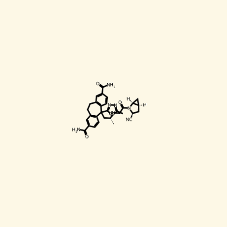 Cc1nnc(C2(C[C@@H](C)NCC(=O)N3[C@H](C#N)C[C@@H]4C[C@@H]43)c3ccc(C(N)=O)cc3CCc3cc(C(N)=O)ccc32)o1